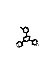 Cc1cccc(-c2cc(-c3ccncc3)cc(-c3ccncc3)c2)c1